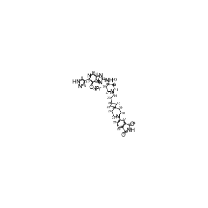 CC(C)Oc1c(-c2cn[nH]c2)ncc2nc(N[C@H]3CCN(CCC4CC5(CCN(c6ccc7c(c6)C(=O)NC7=O)CC5)C4)C[C@H]3C)nn12